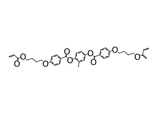 C=CC(=C)OCCCCOc1ccc(C(=O)Oc2ccc(OC(=O)c3ccc(OCCCCOC(=O)C=C)cc3)c(C)c2)cc1